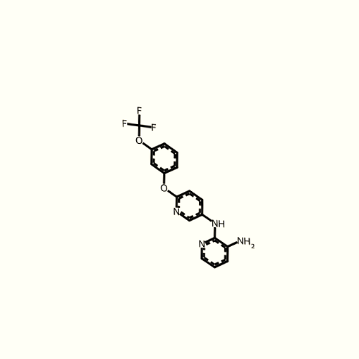 Nc1cccnc1Nc1ccc(Oc2cccc(OC(F)(F)F)c2)nc1